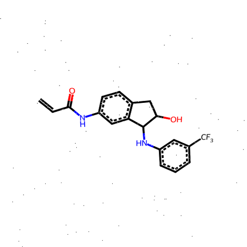 C=CC(=O)Nc1ccc2c(c1)C(Nc1cccc(C(F)(F)F)c1)C(O)C2